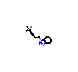 C[Si](C)(C)C#CCCn1nnc2ccccc21